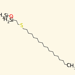 CCCCCCCCCCCCCCCCCCSCC[SiH2]O[SiH3]